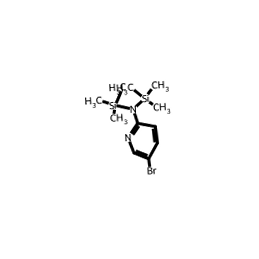 C[Si](C)(C)N(c1ccc(Br)cn1)[Si](C)(C)C